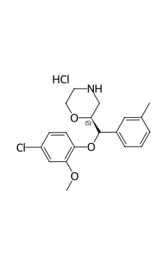 COc1cc(Cl)ccc1OC(c1cccc(C)c1)[C@@H]1CNCCO1.Cl